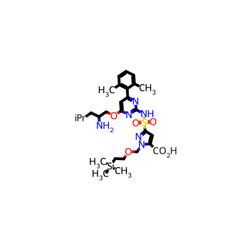 Cc1cccc(C)c1-c1cc(OCC(N)CC(C)C)nc(NS(=O)(=O)c2cc(C(=O)O)n(COCC[Si](C)(C)C)n2)n1